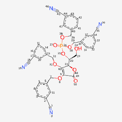 N#Cc1cccc(COC2=C(OCc3cccc(C#N)c3)[C@@H]([C@H](CO)OP(=O)(OCc3cccc(C#N)c3)OCc3cccc(C#N)c3)OC2=O)c1